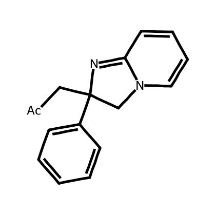 CC(=O)CC1(c2ccccc2)CN2C=CC=CC2=N1